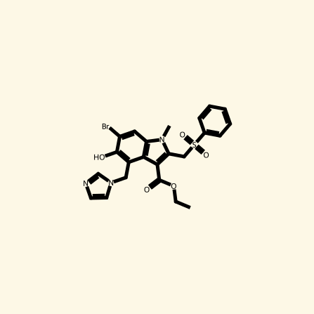 CCOC(=O)c1c(CS(=O)(=O)c2ccccc2)n(C)c2cc(Br)c(O)c(Cn3ccnc3)c12